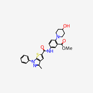 COC(=O)c1cc(NC(=O)c2cc3c(C)nn(-c4ccccc4)c3s2)ccc1N1CCC(O)CC1